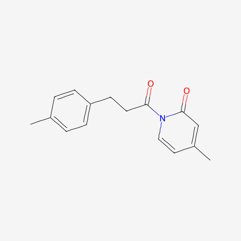 Cc1ccc(CCC(=O)n2ccc(C)cc2=O)cc1